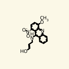 COc1ccc([N+](=O)[O-])c2c(NCC=CO)c3ccccc3nc12